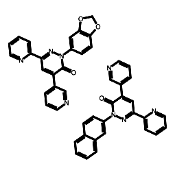 O=c1c(-c2cccnc2)cc(-c2ccccn2)nn1-c1ccc2c(c1)OCO2.O=c1c(-c2cccnc2)cc(-c2ccccn2)nn1-c1ccc2ccccc2c1